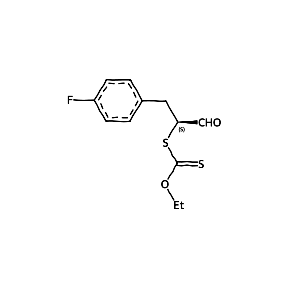 CCOC(=S)S[C@H](C=O)Cc1ccc(F)cc1